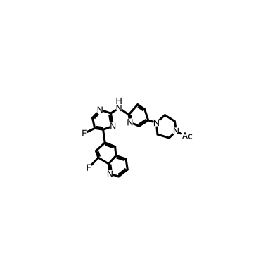 CC(=O)N1CCN(c2ccc(Nc3ncc(F)c(-c4cc(F)c5ncccc5c4)n3)nc2)CC1